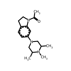 CC(=O)N1CCc2ccc(N3CC(C)N(C)C(C)C3)cc21